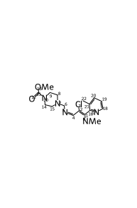 CN/C(=C(Cl)\C=N/CN1CCN(C(=O)OC)CC1)c1ncccc1C